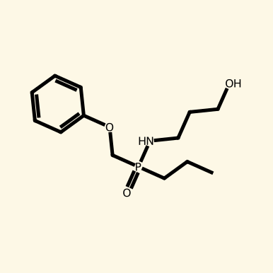 CCCP(=O)(COc1ccccc1)NCCCO